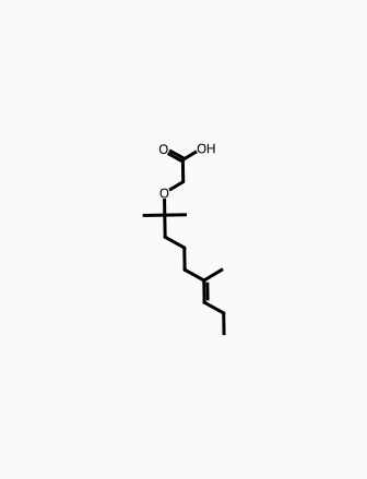 CC/C=C(\C)CCCC(C)(C)OCC(=O)O